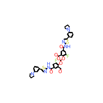 O=Cc1cc(C(=O)Nc2ncc(-c3cccc(N4CCCC4)c3)s2)cc(F)c1OC(=O)Oc1c(F)cc(C(=O)Nc2ncc(-c3cccc(N4CCCC4)c3)s2)cc1C=O